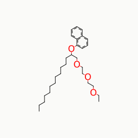 CCCCCCCCCCCCC(COCCOCCOCC)Oc1cccc2ccccc12